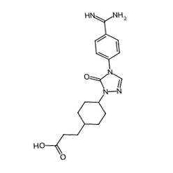 N=C(N)c1ccc(-n2cnn(C3CCC(CCC(=O)O)CC3)c2=O)cc1